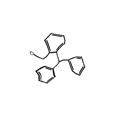 ClCc1ccccc1C(c1ccccc1)c1ccccc1